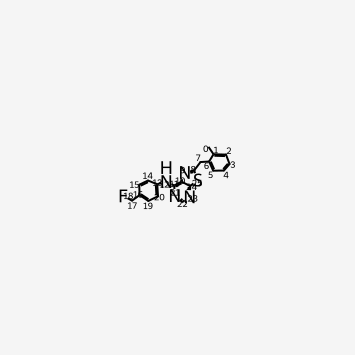 Cc1ccccc1Cc1nc2c(Nc3ccc(CF)cc3)ncnc2s1